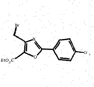 CCOC(=O)c1oc(-c2ccc(C(F)(F)F)cc2)nc1CBr